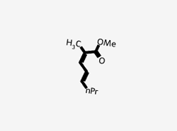 CCCC=CC=C(C)C(=O)OC